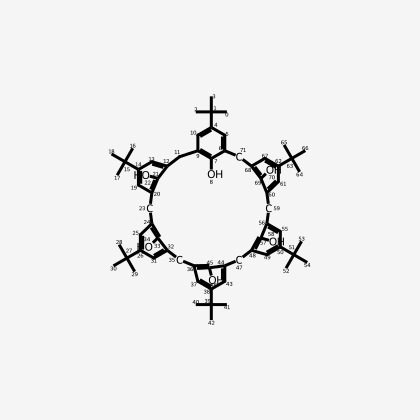 CC(C)(C)c1cc2c(O)c(c1)Cc1cc(C(C)(C)C)cc(c1O)Cc1cc(C(C)(C)C)cc(c1O)Cc1cc(C(C)(C)C)cc(c1O)Cc1cc(C(C)(C)C)cc(c1O)Cc1cc(C(C)(C)C)cc(c1O)C2